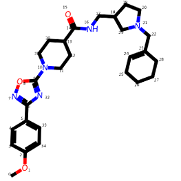 COc1ccc(-c2noc(N3CCC(C(=O)NCC4CCN(CC5=CCCCC5)C4)CC3)n2)cc1